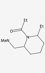 CCC(=O)N1C(CC)CCCC1CNC